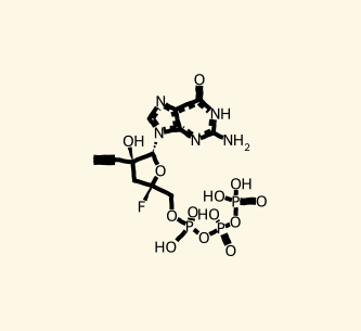 C#C[C@@]1(O)C[C@@](F)(COP(=O)(O)OP(=O)(O)OP(=O)(O)O)O[C@H]1n1cnc2c(=O)[nH]c(N)nc21